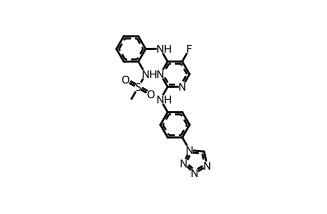 CS(=O)(=O)Nc1ccccc1Nc1nc(Nc2ccc(-n3cnnn3)cc2)ncc1F